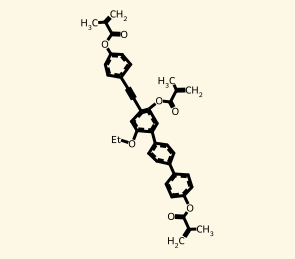 C=C(C)C(=O)Oc1ccc(C#Cc2cc(OCC)c(-c3ccc(-c4ccc(OC(=O)C(=C)C)cc4)cc3)cc2OC(=O)C(=C)C)cc1